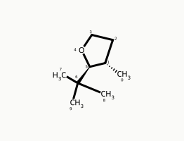 C[C@H]1CCO[C@@H]1C(C)(C)C